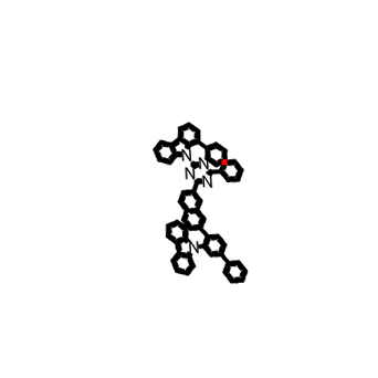 c1ccc(-c2ccc(-c3ccc4ccc(-c5nc(-c6ccccc6)nc(-n6c7ccccc7c7cccc(-c8ccccc8)c76)n5)cc4c3)c(-n3c4ccccc4c4ccccc43)c2)cc1